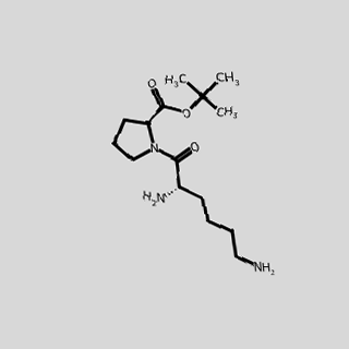 CC(C)(C)OC(=O)[C@@H]1CCCN1C(=O)[C@@H](N)CCCCN